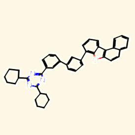 c1cc(-c2cccc(-c3cccc4c3oc3ccc5ccccc5c34)c2)cc(-c2nc(C3CCCCC3)nc(C3CCCCC3)n2)c1